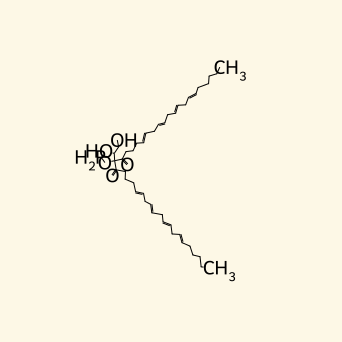 CCCCCC=CCC=CCC=CCC=CCCCC(=O)C(OP)(C(=O)CCCC=CCC=CCC=CCC=CCCCCC)C(O)CO